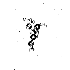 COC(=O)N1CCO[C@@H](Cc2c(-c3c(F)cc(-c4ccn(C(F)F)n4)cc3F)nc3cc(C)ccn23)C1